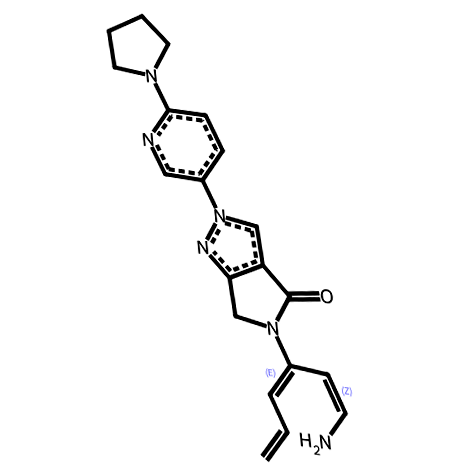 C=C/C=C(\C=C/N)N1Cc2nn(-c3ccc(N4CCCC4)nc3)cc2C1=O